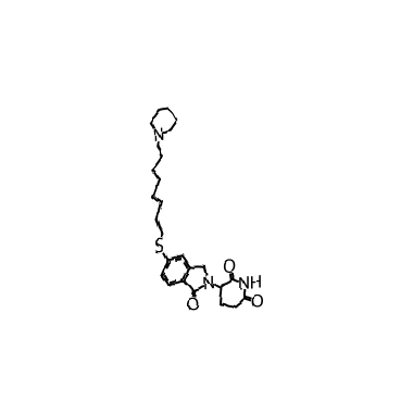 O=C1CCC(N2Cc3cc(SCCCCCCCCN4CCCCC4)ccc3C2=O)C(=O)N1